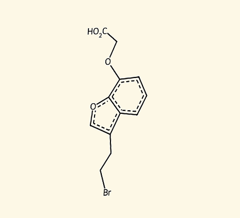 O=C(O)COc1cccc2c(CCBr)coc12